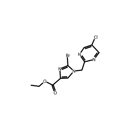 CCOC(=O)c1cn(Cc2ncc(Cl)cn2)c(Br)n1